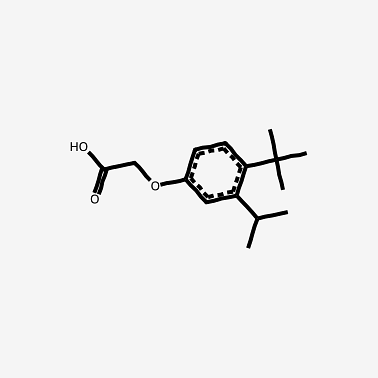 CC(C)c1cc(OCC(=O)O)ccc1C(C)(C)C